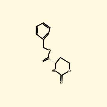 O=C1N[C@H](C(=O)OCc2ccccc2)CCO1